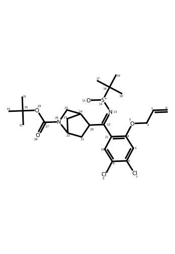 C=CCOc1cc(Cl)c(Cl)cc1C(=N[S+]([O-])C(C)(C)C)C1CC2CC1CN2C(=O)OC(C)(C)C